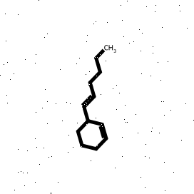 CCCCC=CC1C=CCCC1